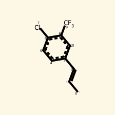 [CH2]C=Cc1ccc(Cl)c(C(F)(F)F)c1